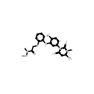 CON(C)C(=O)COc1ccccc1Oc1cc(-n2c(=O)cc(C(F)(F)F)n(C)c2=O)ccc1Br